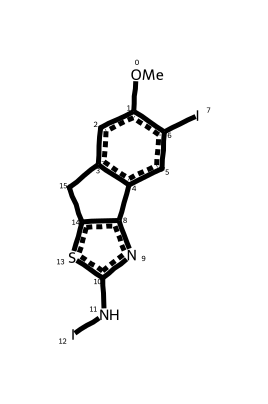 COc1cc2c(cc1I)-c1nc(NI)sc1C2